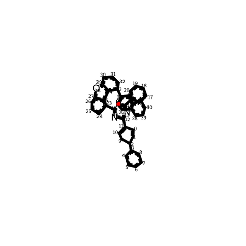 C1=CC(c2ccccc2)CC=C1c1nc(-c2ccccc2)nc(-c2cccc3oc4cccc(-c5ccc6ccccc6c5)c4c23)n1